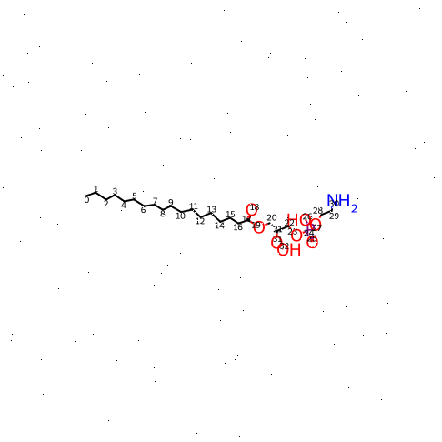 CCCCCCCCCCCCCCCCCC(=O)OC[C@H](COP(=O)(O)OCCN)OO